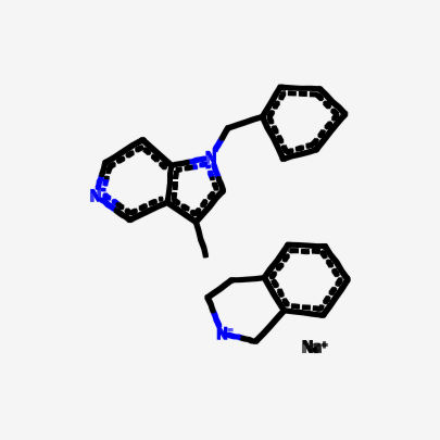 Cc1cn(Cc2ccccc2)c2ccncc12.[Na+].c1ccc2c(c1)CC[N-]C2